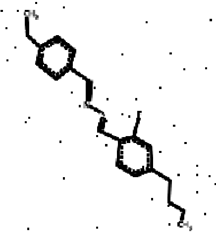 CCCCc1ccc(C=NN=Cc2ccc(CC)cc2)c(F)c1